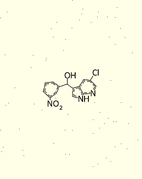 O=[N+]([O-])c1cccc(C(O)c2c[nH]c3ncc(Cl)cc23)c1